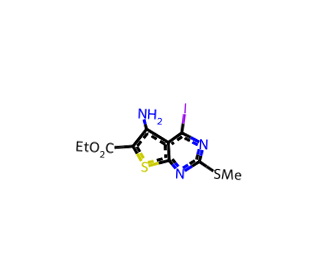 CCOC(=O)c1sc2nc(SC)nc(I)c2c1N